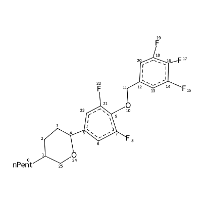 CCCCCC1CCC(c2cc(F)c(OCc3cc(F)c(F)c(F)c3)c(F)c2)OC1